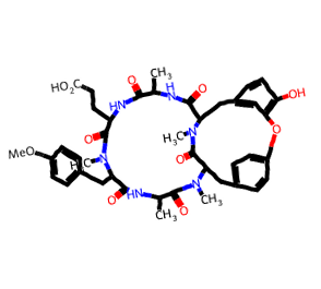 COc1ccc(CC2C(=O)NC(C)C(=O)N(C)C3Cc4ccc(cc4)Oc4cc(ccc4O)CC(C(=O)NC(C)C(=O)NC(CCC(=O)O)C(=O)N2C)N(C)C3=O)cc1